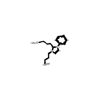 CCCCCCCCCCCCCC1N(CCCCCCCCCCCCC)C=CN1c1ccccc1